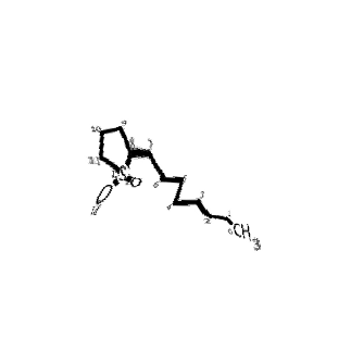 CCCCCCCCC1CCCS1(=O)=O